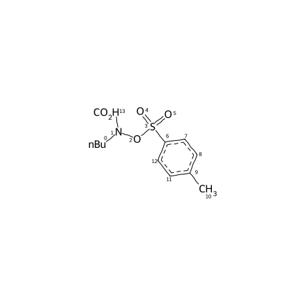 CCCCN(OS(=O)(=O)c1ccc(C)cc1)C(=O)O